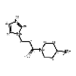 CC(C)C1CCN(C(=O)CCn2ccnc2)CC1